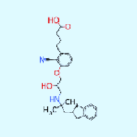 CC(C)(CC1Cc2ccccc2C1)NCC(O)COc1cccc(CCCC(=O)O)c1C#N